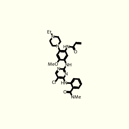 C=CC(=O)Nc1cc(Nc2ncc(Cl)c(Nc3ccccc3C(=O)NC)n2)c(OC)cc1N1CCN(CC)CC1